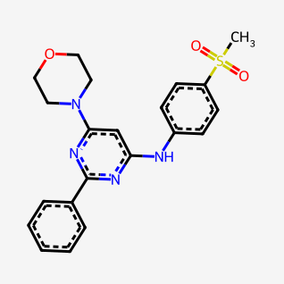 CS(=O)(=O)c1ccc(Nc2cc(N3CCOCC3)nc(-c3ccccc3)n2)cc1